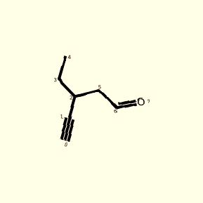 C#CC(CC)CC=O